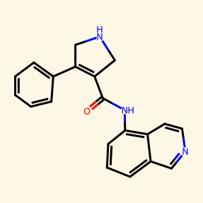 O=C(Nc1cccc2cnccc12)C1=C(c2ccccc2)CNC1